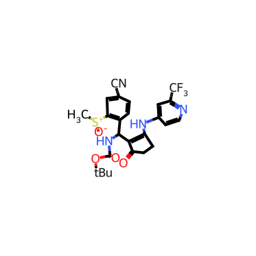 C[S+]([O-])c1cc(C#N)ccc1C(NC(=O)OC(C)(C)C)C1=C(Nc2ccnc(C(F)(F)F)c2)CCC1=O